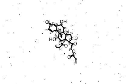 CCC(=O)OCC(=O)[C@]1(OC(=O)CC)[C@@H](C)C[C@H]2[C@@H]3CC(O)C4=CC(=O)C=C[C@]4(C)[C@@]3(F)[C@@H](O)C[C@@]21C